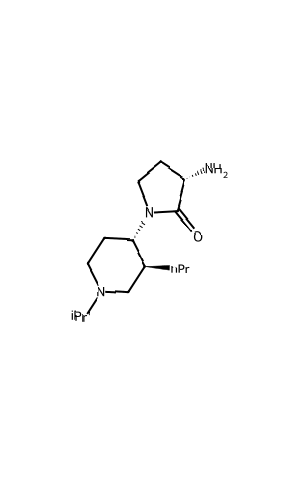 CCC[C@H]1CN(C(C)C)CC[C@@H]1N1CC[C@H](N)C1=O